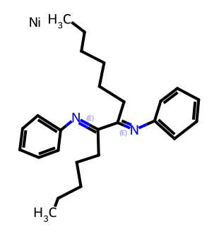 CCCCCCC(=N\c1ccccc1)/C(CCCCC)=N/c1ccccc1.[Ni]